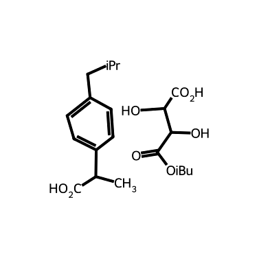 CC(C)COC(=O)C(O)C(O)C(=O)O.CC(C)Cc1ccc(C(C)C(=O)O)cc1